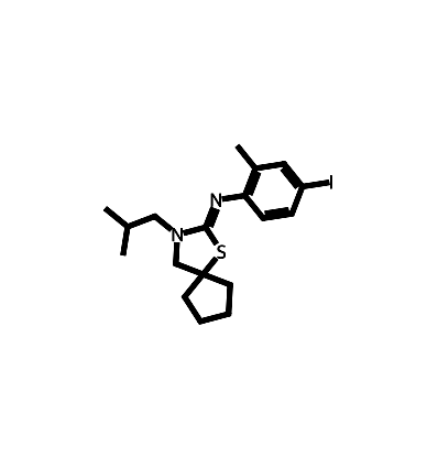 Cc1cc(I)ccc1/N=C1\SC2(CCCC2)CN1CC(C)C